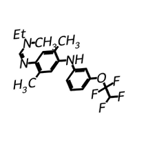 CCN(C)/C=N\c1cc(C)c(Nc2cccc(OC(F)(F)C(F)F)c2)cc1C